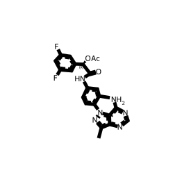 CC(=O)O[C@@H](C(=O)Nc1ccc(-n2nc(C)c3ncnc(N)c32)c(C)c1)c1cc(F)cc(F)c1